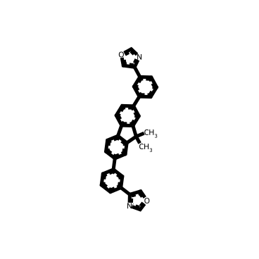 CC1(C)c2cc(-c3cccc(-c4cocn4)c3)ccc2-c2ccc(-c3cccc(-c4cocn4)c3)cc21